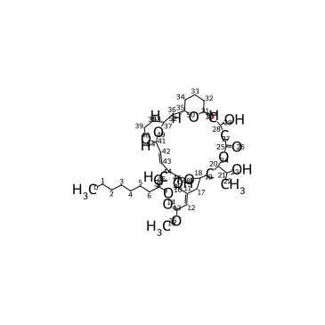 CCCCCCCC(=O)O[C@H]1/C(=C\C(=O)OC)CC2CC(C(C)O)OC(=O)C[C@H](O)C[C@@H]3CCC[C@H](C[C@@H]4CCO[C@H](/C=C/[C@H](C)[C@]1(O)O2)O4)O3